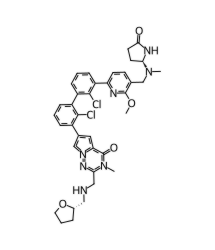 COc1nc(-c2cccc(-c3cccc(-c4cc5c(=O)n(C)c(CNC[C@@H]6CCCO6)nn5c4)c3Cl)c2Cl)ccc1CN(C)[C@H]1CCC(=O)N1